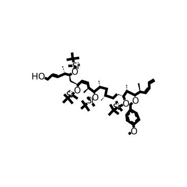 C=C/C=C\[C@H](C)[C@H](OCc1ccc(OC)cc1)[C@@H](C)[C@@H](CC[C@H](C)C[C@@H](C)[C@@H](O[Si](C)(C)C(C)(C)C)[C@@H](C)/C=C\[C@H](C[C@H](O[Si](C)(C)C(C)(C)C)[C@@H](C)/C=C/CO)O[Si](C)(C)C(C)(C)C)O[Si](C)(C)C(C)(C)C